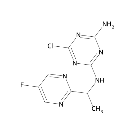 CC(Nc1nc(N)nc(Cl)n1)c1ncc(F)cn1